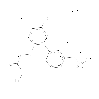 CC(C)(C)OC(=O)COc1ccc(Cl)cc1-c1cccc(CS(C)(=O)=O)c1